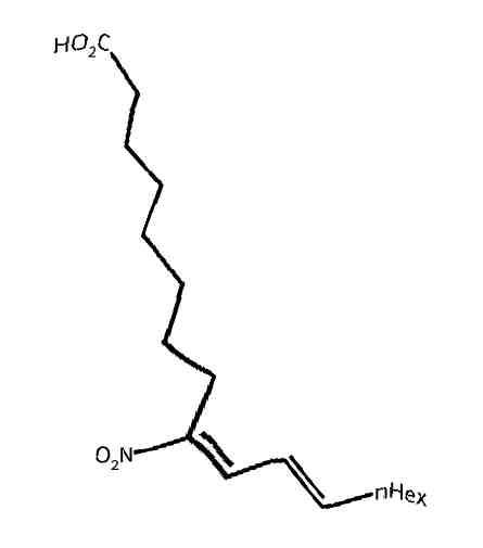 CCCCCCC=CC=C(CCCCCCCC(=O)O)[N+](=O)[O-]